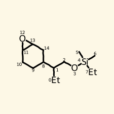 CCC(CO[Si](C)(C)CC)C1CCC2OC2C1